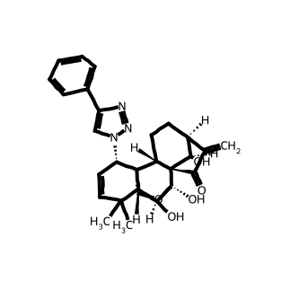 C=C1C(=O)[C@]23[C@H](O)[C@H]1CC[C@H]2[C@@]12CO[C@@]3(O)[C@@H](O)[C@@H]1C(C)(C)C=C[C@@H]2n1cc(-c2ccccc2)nn1